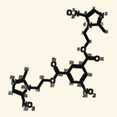 Cc1ncc([N+](=O)[O-])n1CCOC(=O)c1cc(C(=O)OCCn2c([N+](=O)[O-])cnc2C)cc([N+](=O)[O-])c1